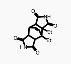 CCC12C=CC(C3C(=O)NC(=O)C31)C1C(=O)NC(=O)C12CC